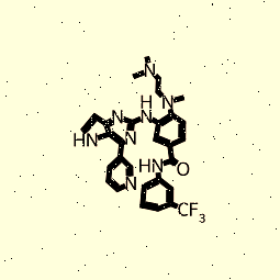 CN(C)CCN(C)c1ccc(C(=O)Nc2cccc(C(F)(F)F)c2)cc1Nc1nc(-c2cccnc2)c2[nH]ccc2n1